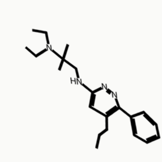 CCCc1cc(NCC(C)(C)N(CC)CC)nnc1-c1ccccc1